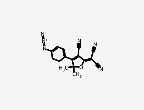 CC1(C)OC(=C(C#N)C#N)C(C#N)=C1C1=CC=C(N=[N+]=[N-])CC1